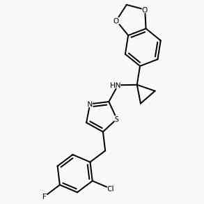 Fc1ccc(Cc2cnc(NC3(c4ccc5c(c4)OCO5)CC3)s2)c(Cl)c1